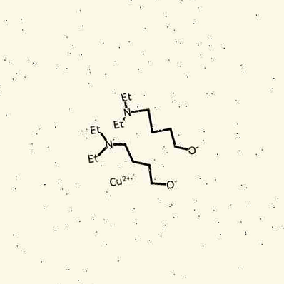 CCN(CC)CCCC[O-].CCN(CC)CCCC[O-].[Cu+2]